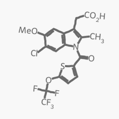 COc1cc2c(CC(=O)O)c(C)n(C(=O)c3ccc(OC(F)(F)C(F)(F)F)s3)c2cc1Cl